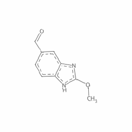 COc1nc2cc(C=O)ccc2[nH]1